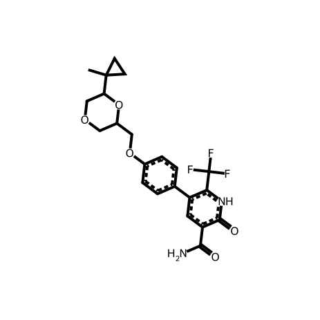 CC1(C2COCC(COc3ccc(-c4cc(C(N)=O)c(=O)[nH]c4C(F)(F)F)cc3)O2)CC1